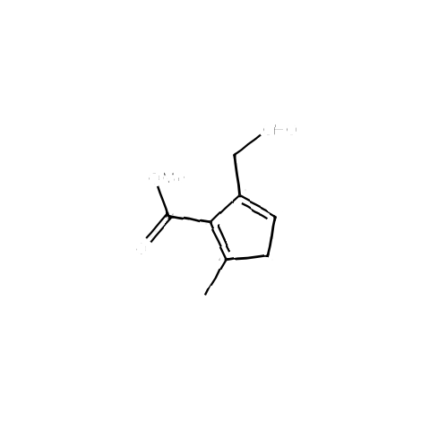 COC(=O)C1=C(C)CC=C1CC=O